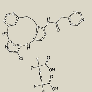 O=C(Cc1ccncc1)Nc1ccc2cc1CCc1cccc(c1)Nc1ncc(Cl)c(n1)N2.O=C(O)C(F)(F)F.O=C(O)C(F)(F)F